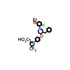 CCOc1ccc(F)c(N2CCC(Oc3ccc(N4C[C@H](C(F)(F)F)C[C@@H]4CC(=O)O)cc3)C(Cc3ccccc3)C2)c1